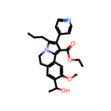 CCCc1c(-c2ccncc2)c(C(=O)OCC)c2n1CCc1cc(C(C)O)c(OC)cc1-2